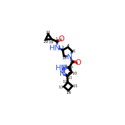 O=C(NC1CCN(C(=O)c2cc(C3CCC3)n[nH]2)C1)C1CC1